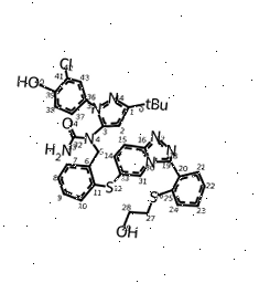 CC(C)(C)c1cc(N(Cc2ccccc2Sc2ccc3nnc(-c4ccccc4SCCO)n3c2)C(N)=O)n(-c2ccc(O)c(Cl)c2)n1